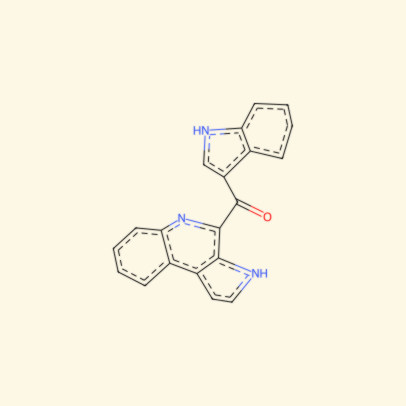 O=C(c1c[nH]c2ccccc12)c1nc2ccccc2c2cc[nH]c12